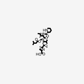 CC[C@H](C)[C@H](NC(=O)[C@H]1CCCCN1)C(=O)N(COC(=O)CC(C)C)[C@H](C[C@@H](OC)c1nc(C(=O)O)cs1)C(C)C